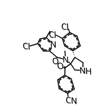 Cc1cc(Cl)cc(C(=O)N(C)[C@]2(C(=O)c3ccc(C#N)cc3)CNC[C@H]2c2ccc(Cl)c(Cl)c2)n1